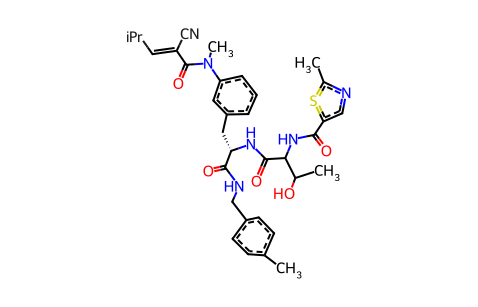 Cc1ccc(CNC(=O)[C@H](Cc2cccc(N(C)C(=O)/C(C#N)=C/C(C)C)c2)NC(=O)C(NC(=O)c2cnc(C)s2)C(C)O)cc1